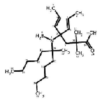 BN(C(C=CC)(C=CC)CC(C)(C)C(=O)O)C(C)(CCCCC)CCCCC